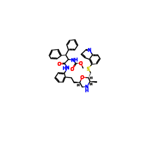 COC(=O)NC(C(=O)Nc1ccccc1CC[C@@H]1CN[C@H](C)[C@@H](CSc2cccc3ncccc23)O1)C(c1ccccc1)c1ccccc1